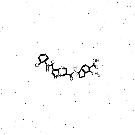 Cc1c(C(=O)O)ccc2c1CC[C@@H]2NC(=O)c1cnc2c(C(=O)Nc3ccccc3Cl)cnn2c1